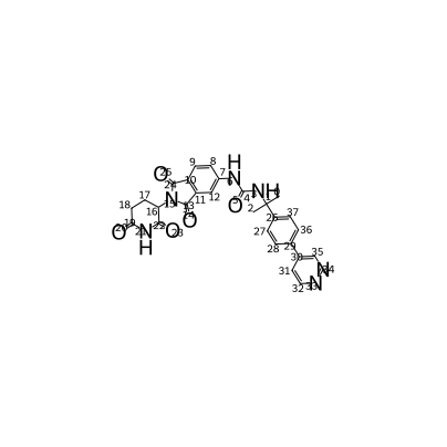 CC(C)(NC(=O)Nc1ccc2c(c1)C(=O)N(C1CCC(=O)NC1=O)C2=O)c1ccc(-c2ccnnc2)cc1